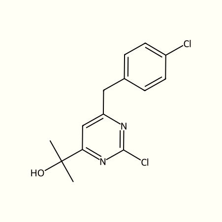 CC(C)(O)c1cc(Cc2ccc(Cl)cc2)nc(Cl)n1